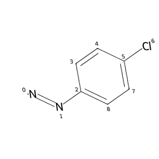 [N]=Nc1ccc(Cl)cc1